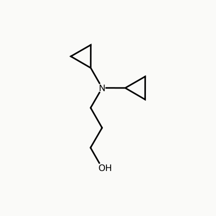 OCCCN(C1CC1)C1CC1